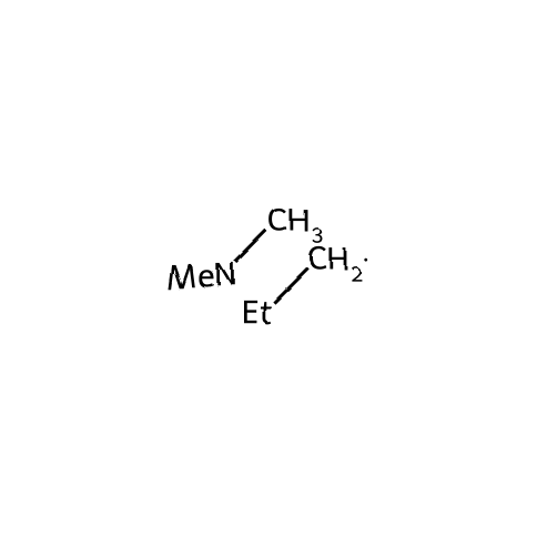 CNC.[CH2]CC